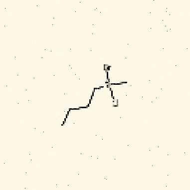 CCCC[Si](C)(Cl)Br